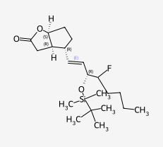 CCCCC(F)[C@@H](/C=C/[C@H]1CC[C@@H]2OC(=O)C[C@@H]21)O[Si](C)(C)C(C)(C)C